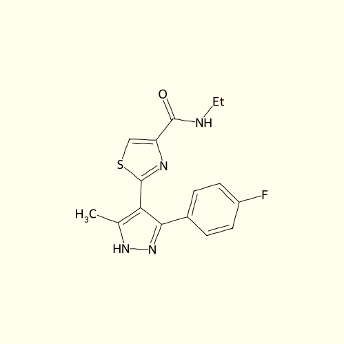 CCNC(=O)c1csc(-c2c(-c3ccc(F)cc3)n[nH]c2C)n1